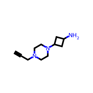 C#CCN1CCN(C2CC(N)C2)CC1